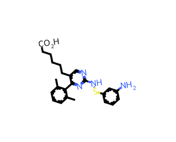 Cc1cccc(C)c1-c1nc(NSc2cccc(N)c2)ncc1CCCCCC(=O)O